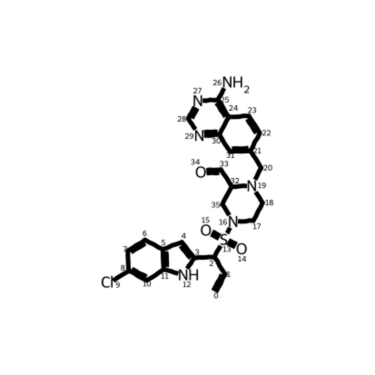 C=CC(c1cc2ccc(Cl)cc2[nH]1)S(=O)(=O)N1CCN(Cc2ccc3c(N)ncnc3c2)C(C=O)C1